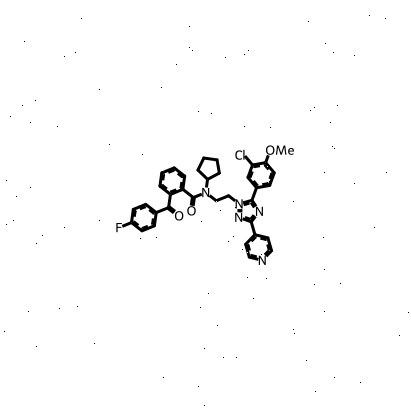 COc1ccc(-c2nc(-c3ccncc3)nn2CCN(C(=O)c2ccccc2C(=O)c2ccc(F)cc2)C2CCCC2)cc1Cl